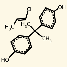 CC(C)(c1ccc(O)cc1)c1ccc(O)cc1.CC=CCl